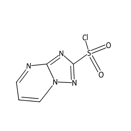 O=S(=O)(Cl)c1nc2ncccn2n1